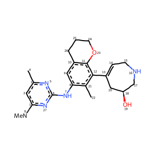 CNc1cc(C)nc(Nc2cc3c(c(C4=CCNC[C@@H](O)C4)c2C)OCCC3)n1